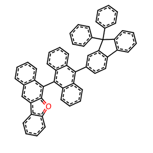 c1ccc(C2(c3ccccc3)c3ccccc3-c3ccc(-c4c5ccccc5c(-c5c6ccccc6cc6c5oc5ccccc56)c5ccccc45)cc32)cc1